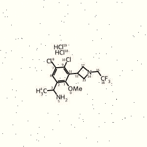 COc1c(C(C)N)cc(Cl)c(Cl)c1C1CN(CC(F)(F)F)C1.Cl.Cl